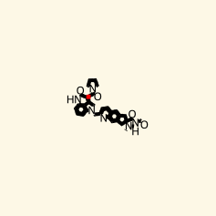 CN(C)[C@]1(C(=O)NC=O)Cc2cc3ccc(CN4CC5(CC(=O)N6CCCC6)CC(=O)Nc6cccc4c65)nc3cc2C1